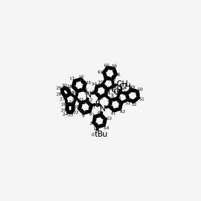 CC(C)(C)c1ccc(N2B3c4cccc5c4N(c4ccccc4C54c5ccccc5-c5ccccc54)c4cc5c(c(c43)-c3c2ccc2c3C(C)(C)c3ccccc3-2)C(C)(C)c2ccccc2-5)cc1